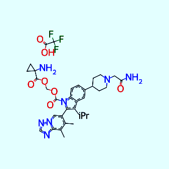 Cc1c(-c2c(C(C)C)c3cc(C4CCN(CC(N)=O)CC4)ccc3n2C(=O)OCOC(=O)C2(N)CC2)cn2ncnc2c1C.O=C(O)C(F)(F)F